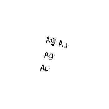 [Ag].[Ag].[Au].[Au]